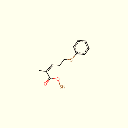 CC(=CCCSc1ccccc1)C(=O)OS